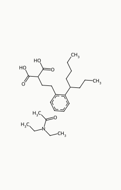 CCCCC(CCC)c1ccccc1CCC(C(=O)O)C(=O)O.CCN(CC)C(C)=O